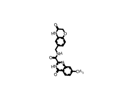 Cc1ccc2c(=O)[nH]c(C(=O)NCc3ccc4c(c3)NC(=O)CO4)nc2c1